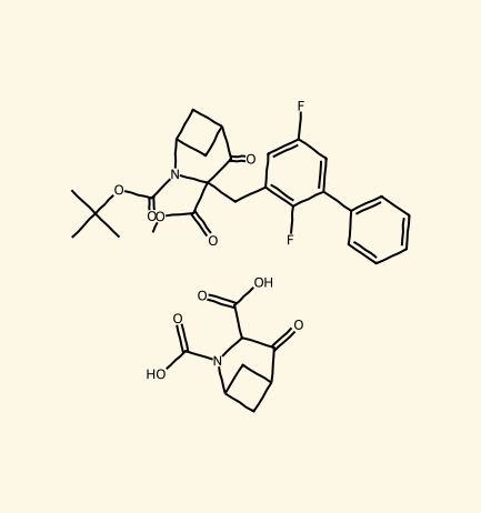 COC(=O)C1(Cc2cc(F)cc(-c3ccccc3)c2F)C(=O)C2CC(C2)N1C(=O)OC(C)(C)C.O=C(O)C1C(=O)C2CC(C2)N1C(=O)O